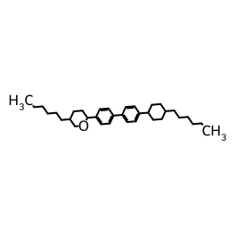 CCCCCCC1CCC(c2ccc(-c3ccc(C4CCC(CCCCCC)CO4)cc3)cc2)CC1